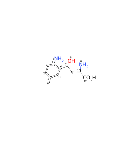 Cc1ccc(N)c([C@H](O)C[C@H](N)C(=O)O)c1